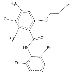 CCc1cccc(CC)c1NC(=O)c1c(OCCC(C)C)cc(C)[n+]([O-])c1C(F)(F)F